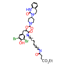 CCOC(=O)CCC(=O)N=C=C=CC=C=C=NC(=O)[C@@H](Cc1cc(Br)c(O)c(Br)c1)OC(=O)N1CCC(N2CCc3ccccc3NC2=O)CC1